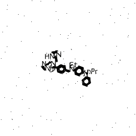 CCCN(C1CCCCC1)C1CCC(N(CC)Cc2ccc(C(=O)N(Cc3ncc[nH]3)Cc3ncc[nH]3)cc2)CC1